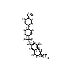 CCCCC1CCC(C2CCC(C(F)(F)Oc3cc(F)c4c(c3)CCC(C(F)(F)F)O4)CC2)CC1